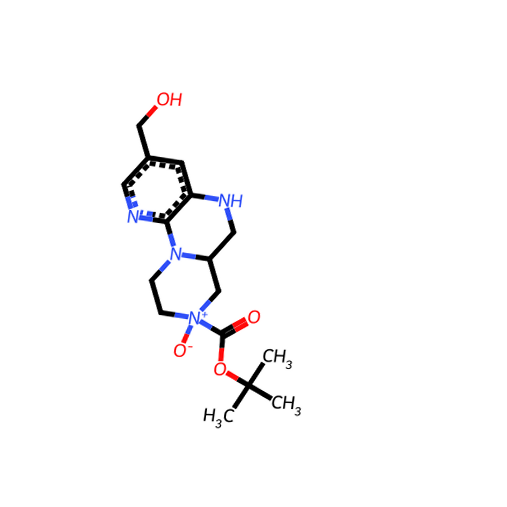 CC(C)(C)OC(=O)[N+]1([O-])CCN2c3ncc(CO)cc3NCC2C1